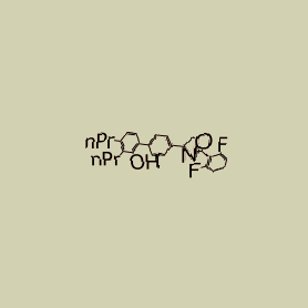 CCCc1ccc(-c2ccc(C3COC(c4c(F)cccc4F)=N3)cc2)c(O)c1CCC